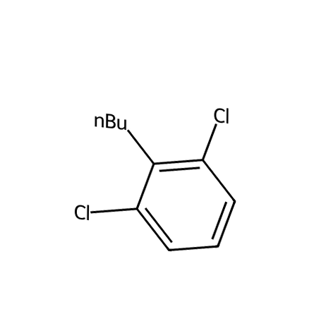 [CH2]CCCc1c(Cl)cccc1Cl